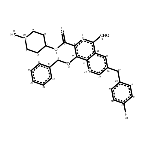 O=Cc1nc(C(=O)OC2CCN(S)CC2)c(OCc2ccccc2)c2ncc(Cc3ccc(F)cc3)cc12